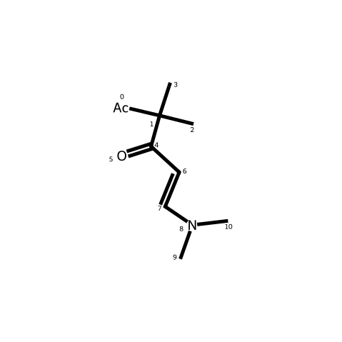 CC(=O)C(C)(C)C(=O)/C=C/N(C)C